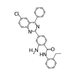 CCc1ccccc1NC(=O)c1ccc(-c2nc(-c3ccccc3)c3cc(Cl)ccc3n2)cc1N